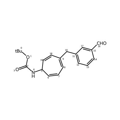 CC(C)(C)OC(=O)NC1C=CC=C(Cc2cccc(C=O)c2)C=C1